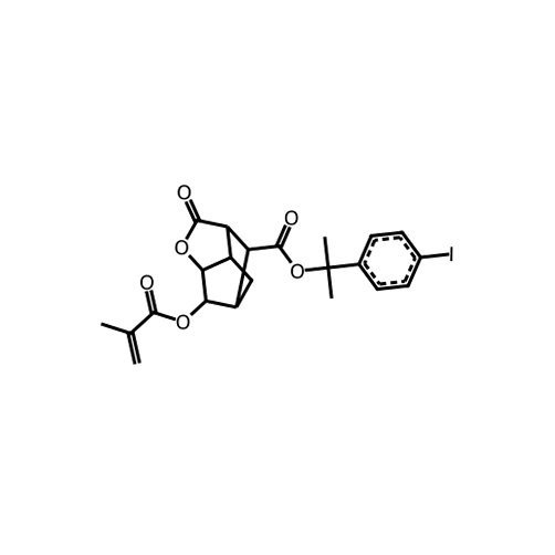 C=C(C)C(=O)OC1C2CC3C1OC(=O)C3C2C(=O)OC(C)(C)c1ccc(I)cc1